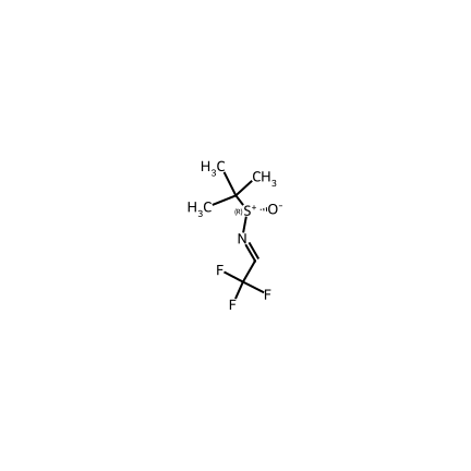 CC(C)(C)[S@+]([O-])N=CC(F)(F)F